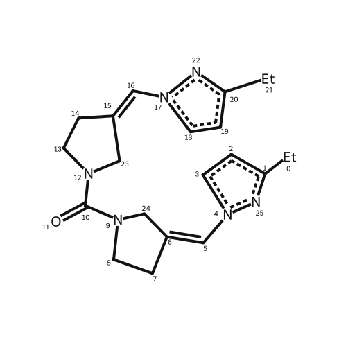 CCc1ccn(C=C2CCN(C(=O)N3CCC(=Cn4ccc(CC)n4)C3)C2)n1